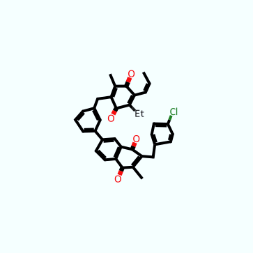 C/C=C\C1=C(CC)C(=O)C(Cc2cccc(-c3ccc4c(c3)C(=O)C(Cc3ccc(Cl)cc3)=C(C)C4=O)c2)=C(C)C1=O